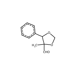 CC1(C=O)OCOC1c1ccccc1